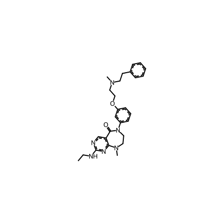 CCNc1ncc2c(n1)N(C)CCN(c1cccc(OCCN(C)CCc3ccccc3)c1)C2=O